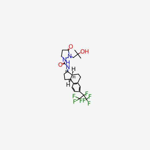 CC(C)(O)CN1C(=O)CCN1C(=O)N[C@@H]1CC[C@H]2c3ccc(C(F)(C(F)(F)F)C(F)(F)F)cc3CC[C@@H]12